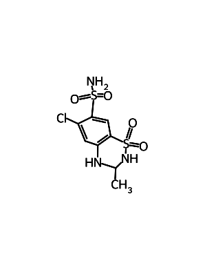 CC1Nc2cc(Cl)c(S(N)(=O)=O)cc2S(=O)(=O)N1